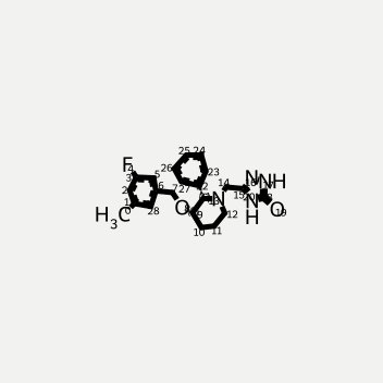 Cc1cc(F)cc(CO[C@H]2CCCN(Cc3n[nH]c(=O)[nH]3)[C@H]2c2ccccc2)c1